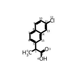 CC(C(=O)O)c1ccc2ccc(Cl)cc2c1